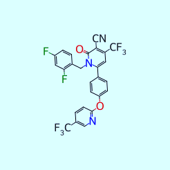 N#Cc1c(C(F)(F)F)cc(-c2ccc(Oc3ccc(C(F)(F)F)cn3)cc2)n(Cc2ccc(F)cc2F)c1=O